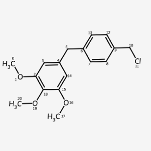 COc1cc(Cc2ccc(CCl)cc2)cc(OC)c1OC